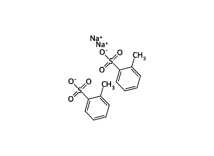 Cc1ccccc1S(=O)(=O)[O-].Cc1ccccc1S(=O)(=O)[O-].[Na+].[Na+]